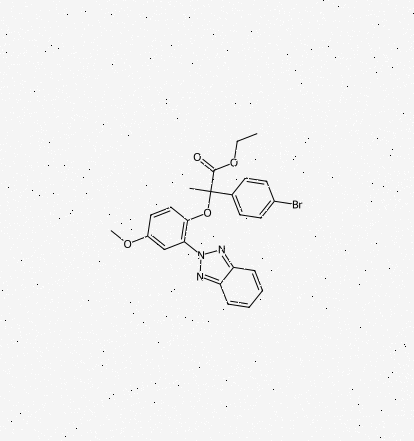 CCOC(=O)C(C)(Oc1ccc(OC)cc1-n1nc2ccccc2n1)c1ccc(Br)cc1